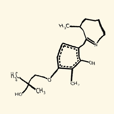 Cc1c(OCC(C)(C)O)ccc(C2=NCCCC2C)c1O